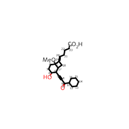 COC12CCC(O)C(C#CC(=O)C3CCCCC3)C1CC2=CCCCC(=O)O